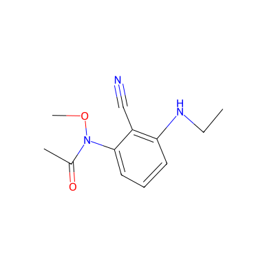 CCNc1cccc(N(OC)C(C)=O)c1C#N